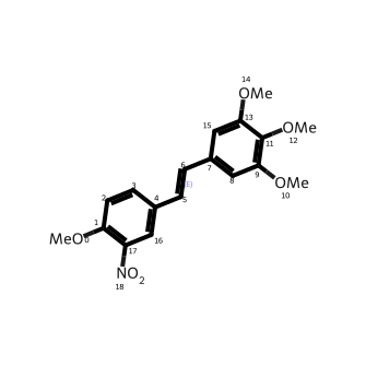 COc1ccc(/C=C/c2cc(OC)c(OC)c(OC)c2)cc1[N+](=O)[O-]